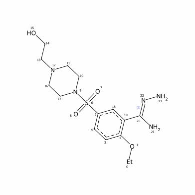 CCOc1ccc(S(=O)(=O)N2CCN(CCO)CC2)cc1/C(N)=N/N